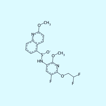 COc1ccc2c([S+]([O-])Nc3cc(F)c(OCC(F)F)nc3OC)cccc2n1